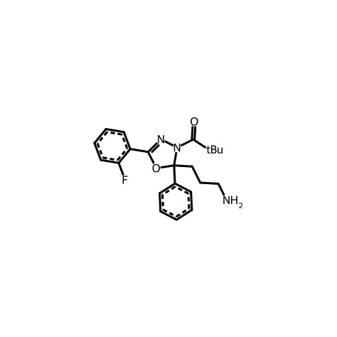 CC(C)(C)C(=O)N1N=C(c2ccccc2F)OC1(CCCN)c1ccccc1